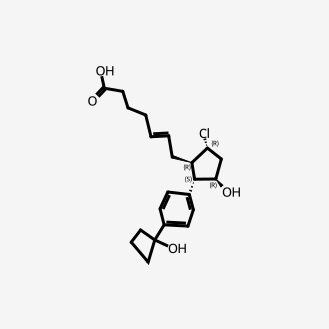 O=C(O)CCCC=CC[C@@H]1[C@@H](c2ccc(C3(O)CCC3)cc2)[C@H](O)C[C@H]1Cl